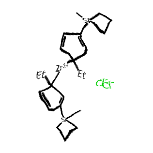 CC[C]1([Zr+2][C]2(CC)C=CC([Si]3(C)CCC3)=C2)C=CC([Si]2(C)CCC2)=C1.[Cl-].[Cl-]